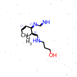 C\C=C/C(=N/C=N)C(/C)=C/NCCCO